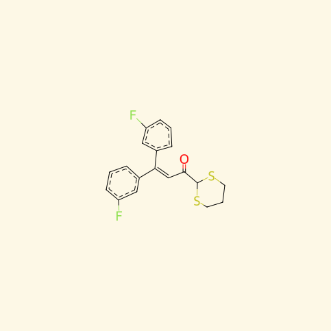 O=C(C=C(c1cccc(F)c1)c1cccc(F)c1)C1SCCCS1